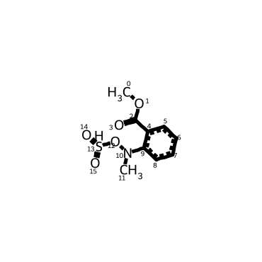 COC(=O)c1ccccc1N(C)O[SH](=O)=O